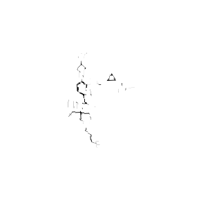 CCC(CC)(COCCCF)NC(=O)c1ccc(N2CC(OC)C2)c(OC[C@H]2C[C@@H]2CO)n1